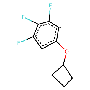 Fc1[c]c(OC2CCC2)cc(F)c1F